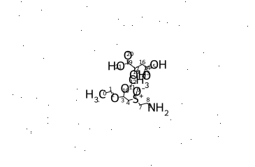 CCOC(C[S+]([O-])CCN)OCC.O=C(O)CC(O)C(=O)O